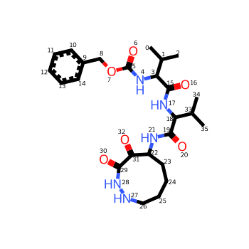 CC(C)C(NC(=O)OCc1ccccc1)C(=O)NC(C(=O)NC1CCCCNNC(=O)C1=O)C(C)C